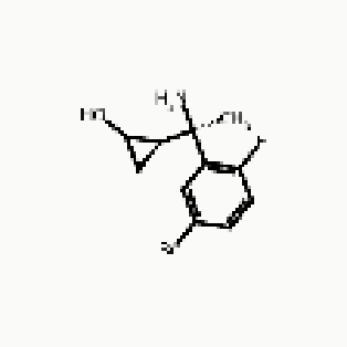 C[C@](N)(c1cc(Br)ccc1F)[C@H]1CC1O